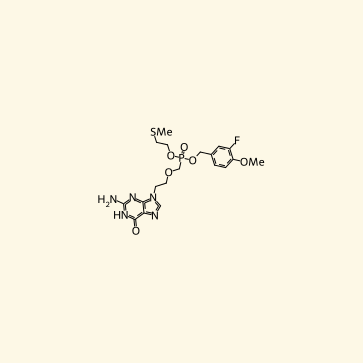 COc1ccc(COP(=O)(COCCn2cnc3c(=O)[nH]c(N)nc32)OCCSC)cc1F